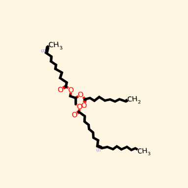 C=CCCCCCCCC(=O)OC(COC(=O)CCCCCCC/C=C\C)COC(=O)CCCCCCC/C=C\CCCCCCCC